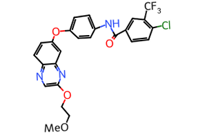 COCCOc1cnc2ccc(Oc3ccc(NC(=O)c4ccc(Cl)c(C(F)(F)F)c4)cc3)cc2n1